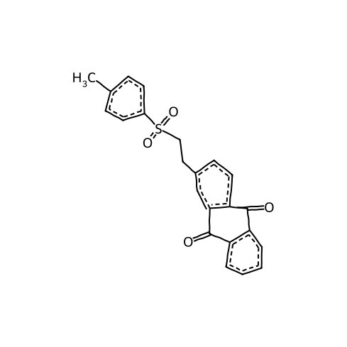 Cc1ccc(S(=O)(=O)CCc2ccc3c(c2)C(=O)c2ccccc2C3=O)cc1